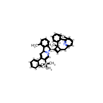 Cc1cccc2c1C1C=C(C3=CC=CCC3C)C([Si](C)(C)C)=CN1[C@@H]2C1=CC2Cc3cc4cc(n3)-c3cc(ccc3C12C)C4